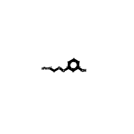 CCCCCCOOc1cccc(O)c1